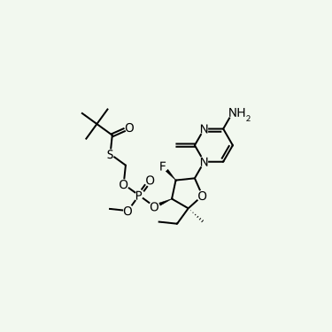 C=C1N=C(N)C=CN1C1O[C@@](C)(CC)[C@@H](OP(=O)(OC)OCSC(=O)C(C)(C)C)[C@H]1F